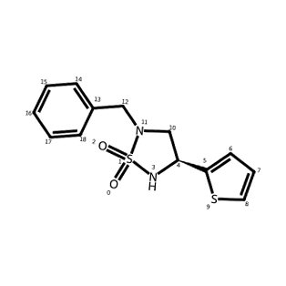 O=S1(=O)N[C@H](c2cccs2)CN1Cc1ccccc1